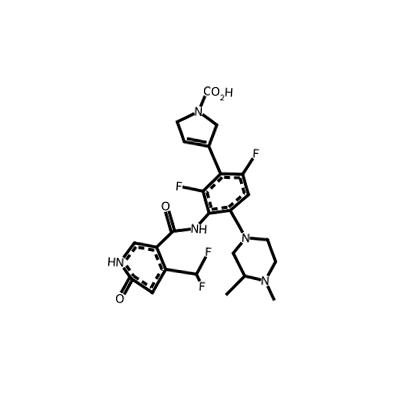 CC1CN(c2cc(F)c(C3=CCN(C(=O)O)C3)c(F)c2NC(=O)c2c[nH]c(=O)cc2C(F)F)CCN1C